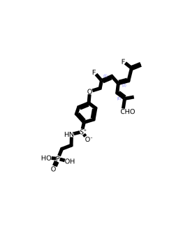 C=C(F)/C=C(/C=C(\C)C=O)\C=C(\F)COc1ccc([S+]([O-])NCCP(=O)(O)O)cc1